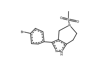 CS(=O)(=O)N1CCc2[nH]nc(-c3ccc(Br)cc3)c2C1